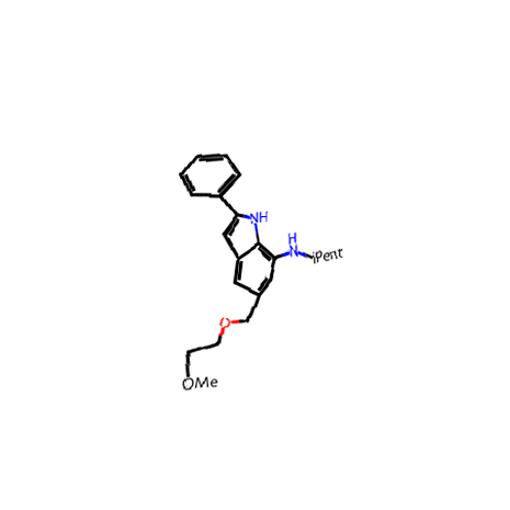 CCCC(C)Nc1cc(COCCOC)cc2cc(-c3ccccc3)[nH]c12